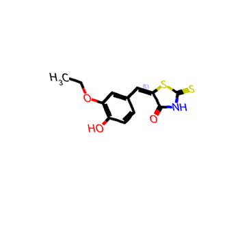 CCOc1cc(/C=C2/SC(=S)NC2=O)ccc1O